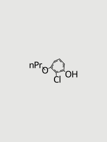 CCCOc1cccc(O)c1Cl